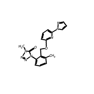 Cc1cccc(-n2nnn(C)c2=O)c1COc1cccc(-n2cccn2)n1